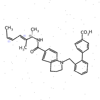 C/C=C\C=C(/C)[C@H](C)NC(=O)c1ccc2c(c1)CCCN2Cc1ccccc1-c1ccc(C(=O)O)cc1